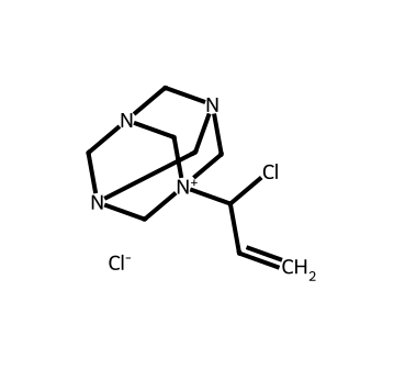 C=CC(Cl)[N+]12CN3CN(CN(C3)C1)C2.[Cl-]